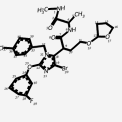 CNC(=O)C(C)NC(=O)C(CCOC1CCCO1)c1c(Br)nc(Oc2cccc(F)c2)n1Cc1ccc(Cl)cc1